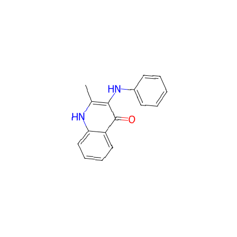 Cc1[nH]c2ccccc2c(=O)c1Nc1ccccc1